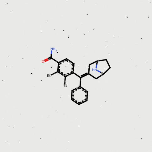 CCc1c(C(N)=O)ccc(C(=C2CC3CCC(C2)N3)c2ccccc2)c1CC